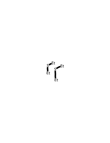 CCSCC.CCSCC